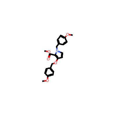 COC(=O)c1c(OCc2ccc(OC)cc2)ccn1Cc1ccc(OC)cc1